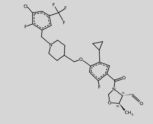 C[C@H]1OCN(C(=O)c2cc(C3CC3)c(OCC3CCN(Cc4cc(C(F)(F)F)cc(Cl)c4F)CC3)cc2F)[C@@H]1[C]=O